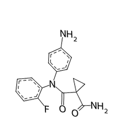 NC(=O)C1(C(=O)N(c2ccc(N)cc2)c2ccccc2F)CC1